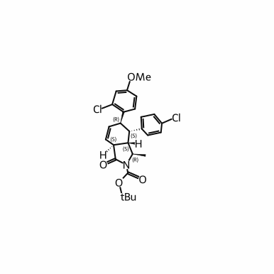 COc1ccc([C@@H]2C=C[C@@H]3C(=O)N(C(=O)OC(C)(C)C)[C@H](C)[C@H]3[C@H]2c2ccc(Cl)cc2)c(Cl)c1